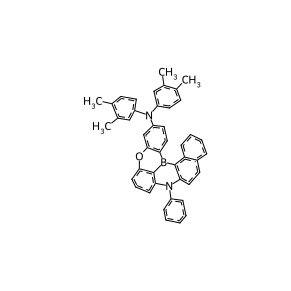 Cc1ccc(N(c2ccc(C)c(C)c2)c2ccc3c(c2)Oc2cccc4c2B3c2c(ccc3ccccc23)N4c2ccccc2)cc1C